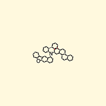 c1ccc(-c2ccccc2N(c2ccc3ccc4c5ccccc5ccc4c3c2)c2cccc3cc4oc5ccccc5c4cc23)cc1